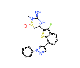 CN1C(=N)NC(c2sc3c(-c4cnn(-c5ccccc5)c4)cccc3c2F)C[S+]1[O-]